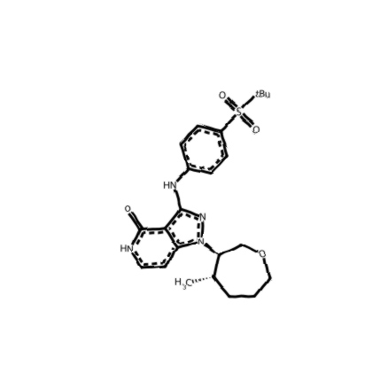 C[C@H]1CCCOC[C@@H]1n1nc(Nc2ccc(S(=O)(=O)C(C)(C)C)cc2)c2c(=O)[nH]ccc21